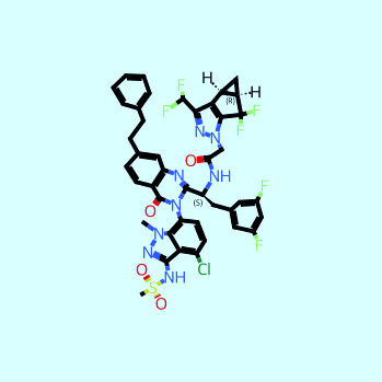 Cn1nc(NS(C)(=O)=O)c2c(Cl)ccc(-n3c([C@H](Cc4cc(F)cc(F)c4)NC(=O)Cn4nc(C(F)F)c5c4C(F)(F)[C@@H]4C[C@H]54)nc4cc(CCc5ccccc5)ccc4c3=O)c21